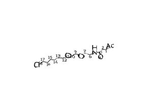 CC(=O)CCC(=O)NCCOCCOCCCCCCCl